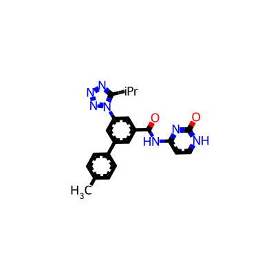 Cc1ccc(-c2cc(C(=O)Nc3cc[nH]c(=O)n3)cc(-n3nnnc3C(C)C)c2)cc1